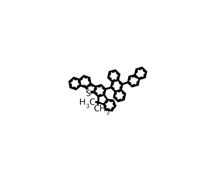 CC1(C)c2ccccc2-c2c(-c3c4ccccc4c(-c4ccc5ccccc5c4)c4ccccc34)cc3c(sc4c5ccccc5ccc34)c21